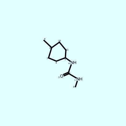 CNC(=O)NC1CCC(C)CC1